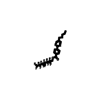 CCCCCc1cnc(-c2ccc(C(=O)OCC(F)(F)C(F)(F)C(F)(F)C(F)(F)C(F)(F)C(F)F)cc2)nc1